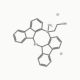 C[Si]1(CCO)c2cccc3c2[CH]([Zr+2][CH]2c4ccccc4-c4cccc1c42)c1ccccc1-3.[Cl-].[Cl-]